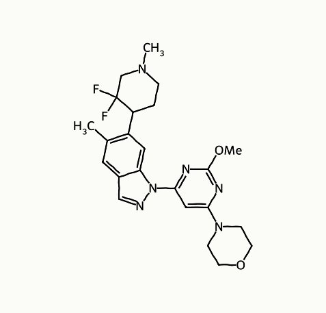 COc1nc(N2CCOCC2)cc(-n2ncc3cc(C)c(C4CCN(C)CC4(F)F)cc32)n1